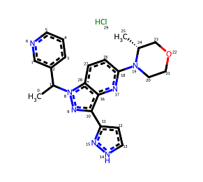 CC(c1cccnc1)n1nc(-c2cc[nH]n2)c2nc(N3CCOC[C@H]3C)ccc21.Cl